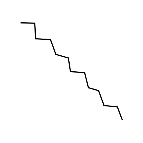 CCCC[C]CCCCCCCC